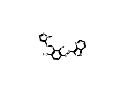 Cn1nccc1/N=N/c1c(O)ccc(/N=N/c2snc3cccnc23)c1O